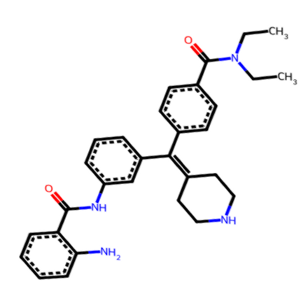 CCN(CC)C(=O)c1ccc(C(=C2CCNCC2)c2cccc(NC(=O)c3ccccc3N)c2)cc1